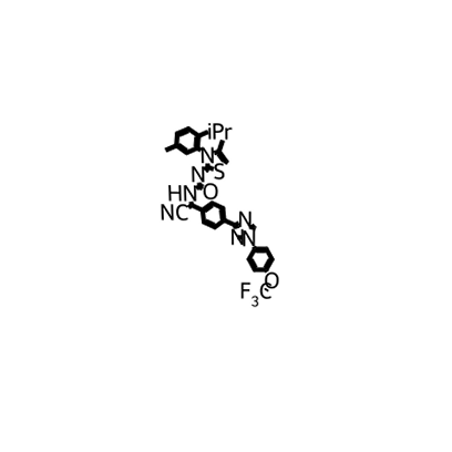 Cc1ccc(C(C)C)c(-n2c(C)cs/c2=N\C(=O)NC(C#N)c2ccc(-c3ncn(-c4ccc(OC(F)(F)F)cc4)n3)cc2)c1